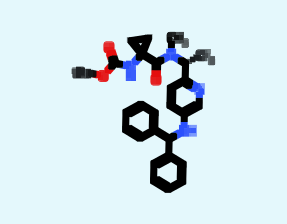 CN(C(=O)C1(NC(=O)OC(C)(C)C)CC1)[C@@H](c1ccc(NC(c2ccccc2)c2ccccc2)cn1)C(F)(F)F